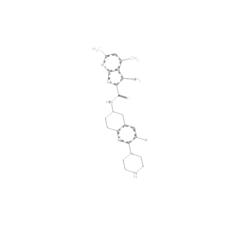 Cc1cc(C)c2c(N)c(C(=O)NC3CCc4nc(N5CCNCC5)c(F)cc4C3)sc2n1